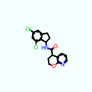 O=C(NC1CCc2cc(Cl)cc(Cl)c21)C1CCOc2ncccc21